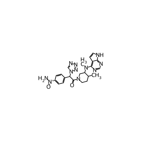 CC1CCN(C(=O)C(c2ccc([N+](N)=O)cc2)n2cnnn2)CC1N(C)c1ncnc2[nH]ccc12